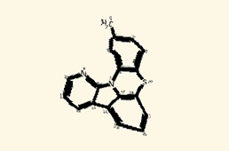 Cc1ccc2c(c1)-n1c3ncccc3c3cccc(c31)S2